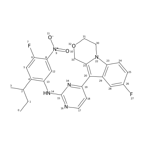 CCC(C)c1cc(F)c([N+](=O)[O-])cc1Nc1nccc(-c2c3n(c4ccc(F)cc24)CCOC3)n1